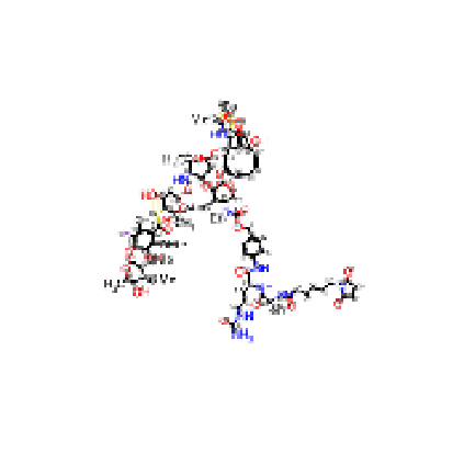 CCN(C(=O)OCc1ccc(NC(=O)[C@H](CCCNC(N)=O)NC(=O)[C@@H](NC(=O)CCCCCN2C(=O)C=CC2=O)C(C)C)cc1)[C@H]1CO[C@@H](O[C@H]2[C@H](O[C@H]3C#C/C=C\C#C[C@]4(O)CC(=O)C(NC(=O)OC)=C3/C4=C\CSSC(C)(C)C)O[C@H](C)[C@@H](NO[C@H]3C[C@H](O)[C@H]([SH]=C(O)c4c(C)c(I)c(O[C@@H]5O[C@@H](C)[C@H](O)[C@@H](OC)[C@H]5O)c(OC)c4OC)[C@@H](C)O3)[C@@H]2O)C[C@@H]1OC